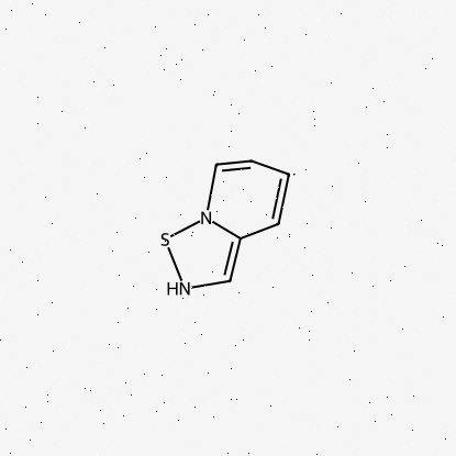 [C]1=CC2=CNSN2C=C1